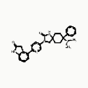 CN(C)C1(c2ccccc2)CCC2(CC1)CN(c1ccc(-c3cccc4c3CC(=O)N4)nc1)C(=O)N2